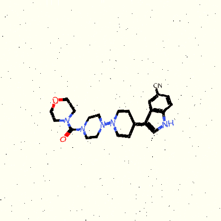 N#Cc1ccc2[nH]cc(C3CCN(N4CCN(C(=O)N5CCOCC5)CC4)CC3)c2c1